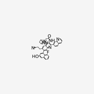 N#CCCc1cc2c3c(c(-c4ccc5cccnc5c4)nc2c(F)c1-c1cc(O)cc2ccccc12)NC(=O)CN3C1C2CNC1C2